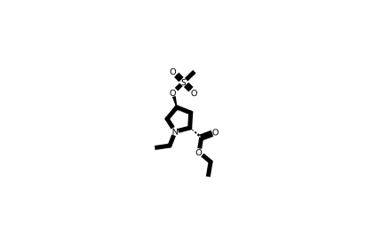 CCOC(=O)[C@H]1C[C@H](OS(C)(=O)=O)CN1CC